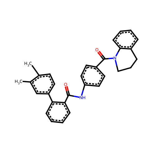 Cc1ccc(-c2ccccc2C(=O)Nc2ccc(C(=O)N3CCCc4ccccc43)cc2)cc1C